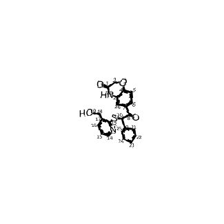 O=C1COc2ccc(C(=O)C(Sc3ncccc3CO)c3ccccc3)cc2N1